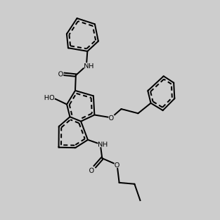 CCCOC(=O)Nc1cccc2c(O)c(C(=O)Nc3ccccc3)cc(OCCc3ccccc3)c12